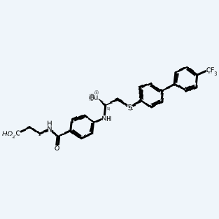 CC[C@H](C)[C@@H](CSc1ccc(-c2ccc(C(F)(F)F)cc2)cc1)Nc1ccc(C(=O)NCCC(=O)O)cc1